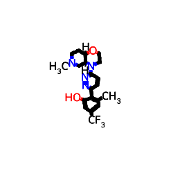 Cc1cc(C(F)(F)F)cc(O)c1-c1ccc(N2CCO[C@H]3CCN(C)C[C@@H]32)nn1